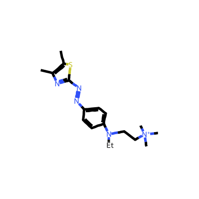 CCN(CC[N+](C)(C)C)c1ccc(/N=N/c2nc(C)c(C)s2)cc1